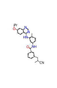 Cc1ccc(NC(=O)c2cccc(CC(C)C#N)c2)cc1Nc1ncnc2cc(OC(C)C)ccc12